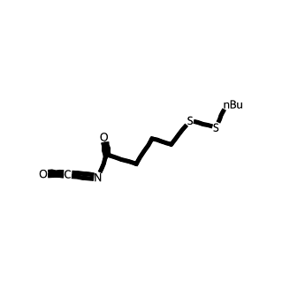 CCCCSSCCCC(=O)N=C=O